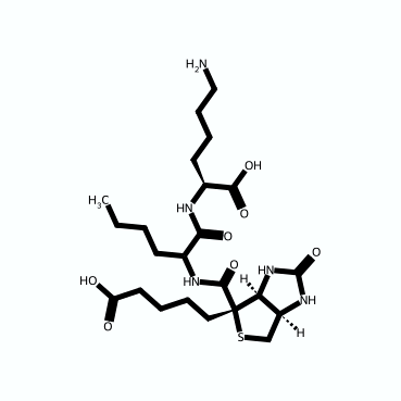 CCCCC(NC(=O)[C@@]1(CCCCC(=O)O)SC[C@@H]2NC(=O)N[C@@H]21)C(=O)N[C@@H](CCCCN)C(=O)O